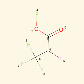 O=C(OF)C(I)C(F)(F)F